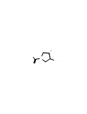 O=C(O)N1CC(O)[C@H](F)C1